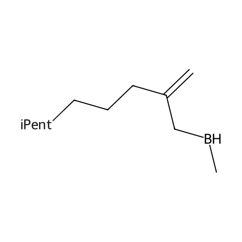 C=C(CBC)CCCC(C)CCC